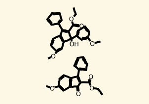 CCOC(=O)C1=C(c2ccccc2)c2ccc(OC)cc2C1(O)c1cccc(OC)c1.CCOC(=O)C1=C(c2ccccc2)c2ccc(OC)cc2C1=O